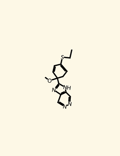 CCSC1=CCC(OC)(c2nc3cnncc3[nH]2)C=C1